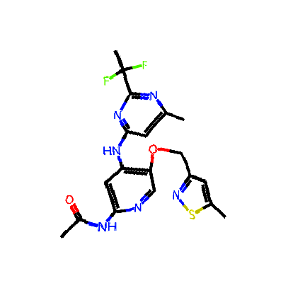 CC(=O)Nc1cc(Nc2cc(C)nc(C(C)(F)F)n2)c(OCc2cc(C)sn2)cn1